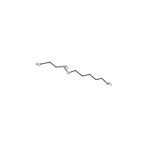 NCCCCCO[SiH2]CCN